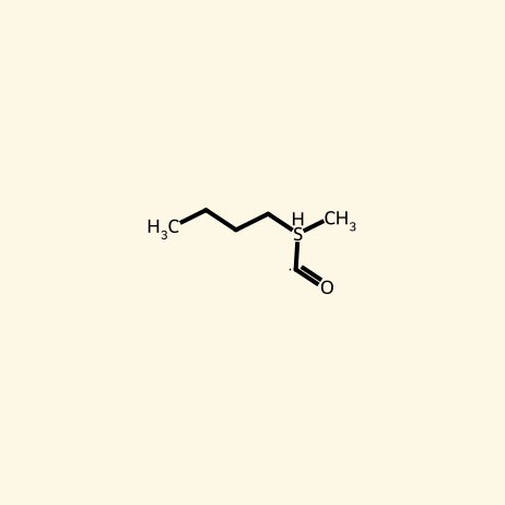 CCCC[SH](C)[C]=O